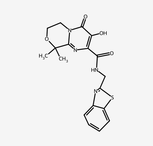 CC1(C)OCCn2c1nc(C(=O)NCc1nc3ccccc3s1)c(O)c2=O